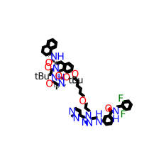 C[C@@H](C(=O)NC(C(=O)N1Cc2cc(OCCCCCCOCCCn3c(CNc4cccc(C(=O)NCc5c(F)cccc5F)c4)nnc3-c3ccncn3)ccc2C[C@H]1C(=O)N[C@@H]1CCCc2ccccc21)C(C)(C)C)N(C)C(=O)OC(C)(C)C